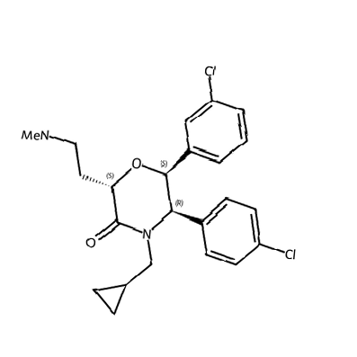 CNCC[C@@H]1O[C@@H](c2cccc(Cl)c2)[C@@H](c2ccc(Cl)cc2)N(CC2CC2)C1=O